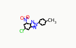 Cc1ccc(-n2nc3cc(Cl)cc([N+](=O)[O-])c3n2)cc1